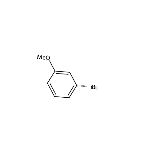 CC[C@@H](C)c1cccc(OC)c1